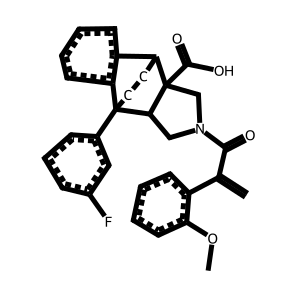 C=C(C(=O)N1CC2C3(c4cccc(F)c4)CCC(c4ccccc43)C2(C(=O)O)C1)c1ccccc1OC